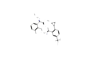 CO/N=C(/C(=O)OC)c1cccc(C)c1CO/N=C(\C)c1cc(C(F)(F)F)ccc1C1CC1